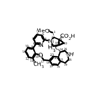 COC[C@H]1N(c2cccc(-c3cccc(C)c3OCc3ccc4c(c3)[C@H](C)CNCC4)n2)CC2C[C@@]21C(=O)O